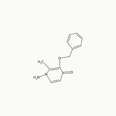 Cc1c(OCc2ccccc2)c(=O)ccn1N